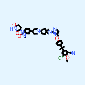 CCOc1c(Cl)cc(C(C)(C)c2ccc(OCc3ccnc(N4CC5(CCC(N6CCC(c7ccc8c(c7)n(C)c(=O)n8C7CCC(=O)NC7=O)CC6)CC5)C4)n3)cc2)cc1C#N